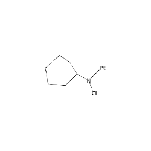 Cl[N]([Pt])C1CCCCC1